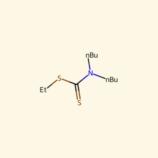 [CH2]CSC(=S)N(CCCC)CCCC